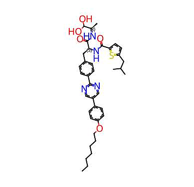 CCCCCCCOc1ccc(-c2cnc(-c3ccc(C[C@H](NC(=O)c4ccc(CC(C)C)s4)C(=O)N[C@H](C)C(O)O)cc3)nc2)cc1